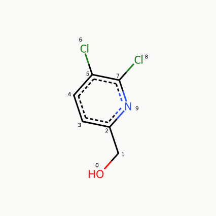 OCc1ccc(Cl)c(Cl)n1